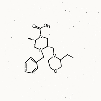 CCC1COCCN1C[C@H]1CN(C(=O)O)[C@H](C)CN1Cc1ccccc1